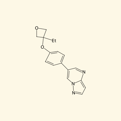 CCC1(Oc2ccc(-c3cnc4ccnn4c3)cc2)COC1